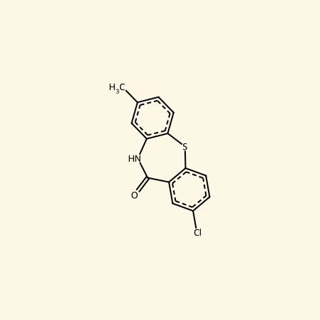 Cc1ccc2c(c1)NC(=O)c1cc(Cl)ccc1S2